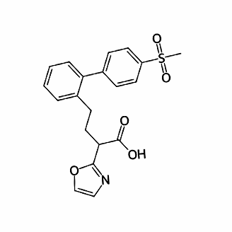 CS(=O)(=O)c1ccc(-c2ccccc2CCC(C(=O)O)c2ncco2)cc1